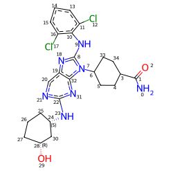 NC(=O)C1CCC(n2c(Nc3c(Cl)cccc3Cl)nc3cnc(N[C@H]4CCC[C@@H](O)C4)nc32)CC1